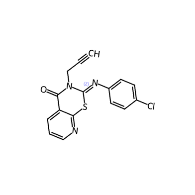 C#CCn1c(=O)c2cccnc2s/c1=N\c1ccc(Cl)cc1